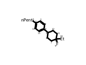 CCCCCc1ccc(C2CCC(F)(CC)CC2)cc1